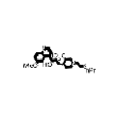 CCCSCCN1CC[C@@H](CC[C@H](O)c2ccnc3ccc(OC)cc23)[C@@H](C(=O)O)C1